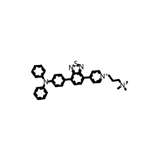 C[N+](C)(C)CCC[n+]1ccc(-c2ccc(-c3ccc(N(c4ccccc4)c4ccccc4)cc3)c3nsnc23)cc1